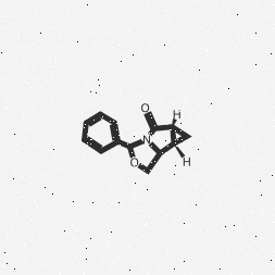 O=C1[C@@H]2C[C@@H]2C2COC(c3ccccc3)N12